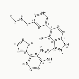 CCNCc1cncc(-c2ccc3[nH]nc(-c4nc5c(-c6cccs6)nccc5[nH]4)c3c2F)c1